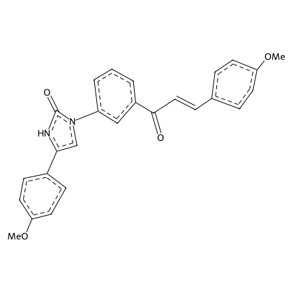 COc1ccc(C=CC(=O)c2cccc(-n3cc(-c4ccc(OC)cc4)[nH]c3=O)c2)cc1